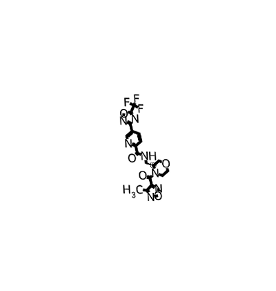 Cc1nonc1C(=O)N1CCOC[C@@H]1CNC(=O)c1ccc(-c2noc(C(F)(F)F)n2)cn1